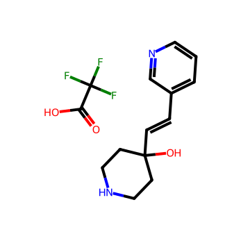 O=C(O)C(F)(F)F.OC1(/C=C/c2cccnc2)CCNCC1